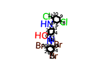 Oc1cc(Nc2cc(Cl)ccc2Cl)ccc1N=Nc1c(Br)cc(Br)cc1Br